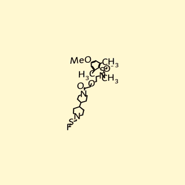 COc1cc(C)c([S+]([O-])N(C)CCOCC(=O)N2CCC(C3CCN(CSF)CC3)CC2)c(C)c1